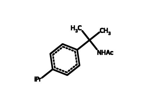 CC(=O)NC(C)(C)c1ccc(C(C)C)cc1